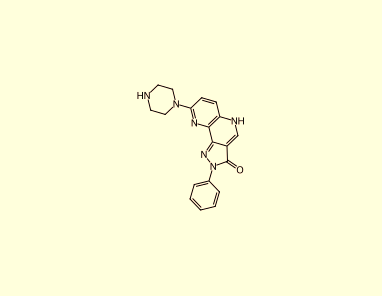 O=c1c2c[nH]c3ccc(N4CCNCC4)nc3c-2nn1-c1ccccc1